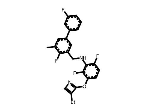 CCC1=CN=C1Oc1ccc(F)c(NCc2cc(-c3cccc(F)c3)cc(C)c2F)c1F